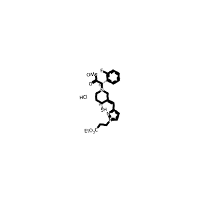 CCOC(=O)CCn1ccc(C=C2CN([C@H](C(=O)OC)c3ccccc3F)CC[C@H]2S)n1.Cl